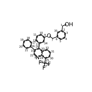 OCc1cccc(COc2cccc(-c3c(-c4ccccc4)cnc4c(C(F)(F)F)cccc34)c2)c1